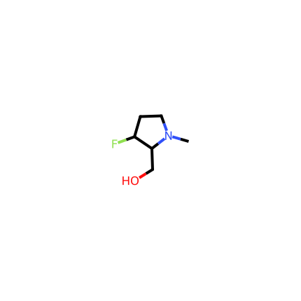 CN1CCC(F)C1CO